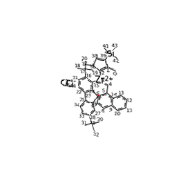 CC1=[C](/[Zr+2](=[CH]/c2cccc3ccccc23)[c]2c(C(C)(C)C)ccc3c2Cc2cc(C(C)(C)C)ccc2-3)C(C)C=C1[Si](C)(C)C.[Cl-].[Cl-]